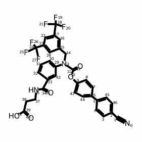 N#Cc1ccc(-c2ccc(OC(=O)N(Cc3cc(C(F)(F)F)cc(C(F)(F)F)c3)c3cccc(C(=O)NCCC(=O)O)c3)cc2)cc1